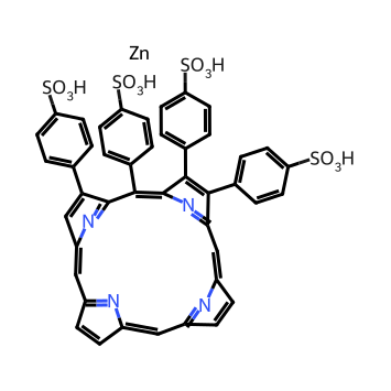 O=S(=O)(O)c1ccc(C2=CC3=CC4=NC(=CC5=NC(=CC6=NC(=C(c7ccc(S(=O)(=O)O)cc7)C2=N3)C(c2ccc(S(=O)(=O)O)cc2)=C6c2ccc(S(=O)(=O)O)cc2)C=C5)C=C4)cc1.[Zn]